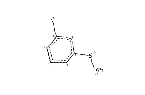 [CH2]CCSc1cccc(C)c1